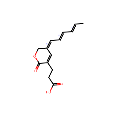 C/C=C/C=C/C=C1\C=C(CCC(=O)O)C(=O)OC1